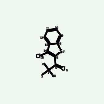 CC(C)(C)C(=O)c1sc2ccccc2c1Cl